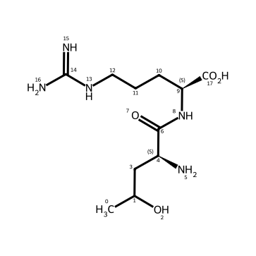 CC(O)C[C@H](N)C(=O)N[C@@H](CCCNC(=N)N)C(=O)O